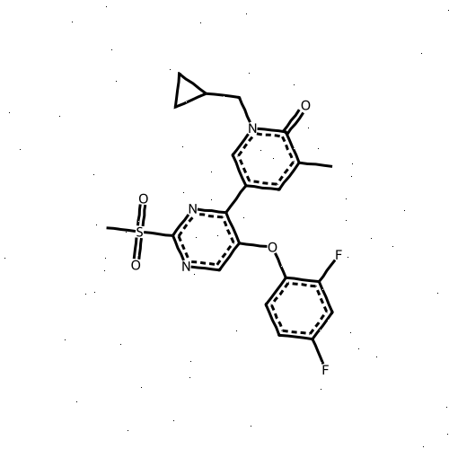 Cc1cc(-c2nc(S(C)(=O)=O)ncc2Oc2ccc(F)cc2F)cn(CC2CC2)c1=O